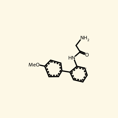 COc1ccc(-c2ccc[c]c2NC(=O)CN)cc1